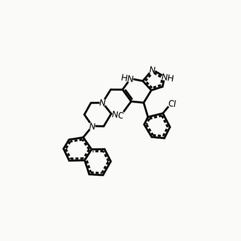 N#CC1=C(CN2CCN(c3cccc4ccccc34)CC2)Nc2n[nH]cc2C1c1ccccc1Cl